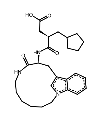 O=C(O)C[C@@H](CC1CCCC1)C(=O)N[C@H]1Cc2cn(c3ccccc23)CCCCCCNC1=O